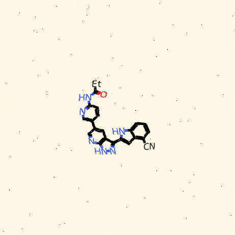 CCC(=O)Nc1ccc(-c2cnc3[nH]nc(-c4cc5c(C#N)cccc5[nH]4)c3c2)cn1